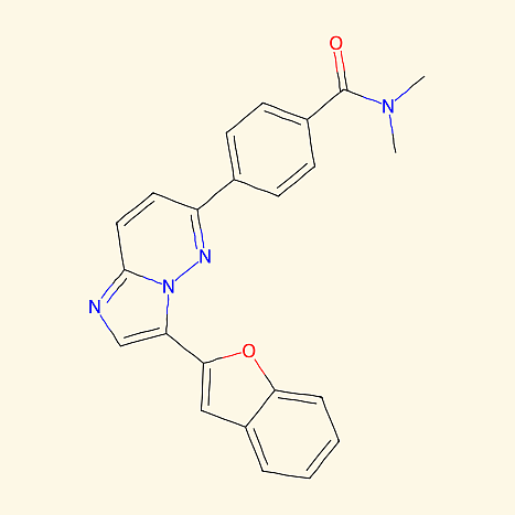 CN(C)C(=O)c1ccc(-c2ccc3ncc(-c4cc5ccccc5o4)n3n2)cc1